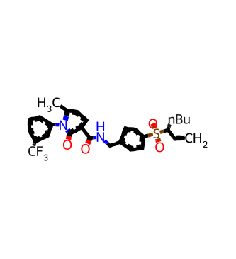 C=CC(CCCC)S(=O)(=O)c1ccc(CNC(=O)c2ccc(C)n(-c3cccc(C(F)(F)F)c3)c2=O)cc1